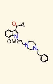 COc1cccc2c(C(=O)C3CC3)cn(CCCN3CCCN(CCc4ccccc4)CC3)c12